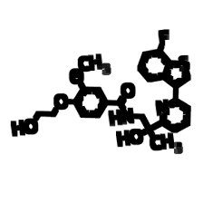 COc1cc(C(=O)NCC(C)(O)c2cccc(-c3csc4c(F)cccc34)n2)ccc1OCCO